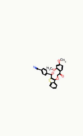 COc1ccc(C(=O)COc2c(C(=O)c3ccc(C#N)cc3)sc3ccccc23)c(OC)c1